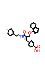 O=C(NCCc1ccc(F)cc1)/C(=C/c1ccc(C(=O)O)cc1)COc1cccc2ccccc12